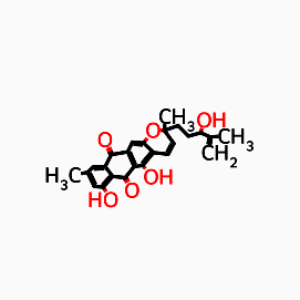 C=C(C)C(O)CCC1(C)C=Cc2c(cc3c(c2O)C(=O)c2c(O)cc(C)cc2C3=O)O1